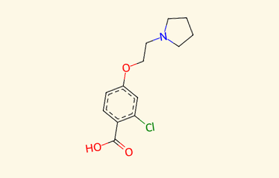 O=C(O)c1ccc(OCCN2CCCC2)cc1Cl